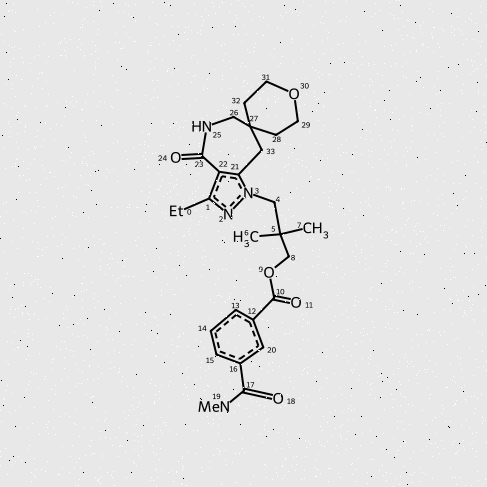 CCc1nn(CC(C)(C)COC(=O)c2cccc(C(=O)NC)c2)c2c1C(=O)NCC1(CCOCC1)C2